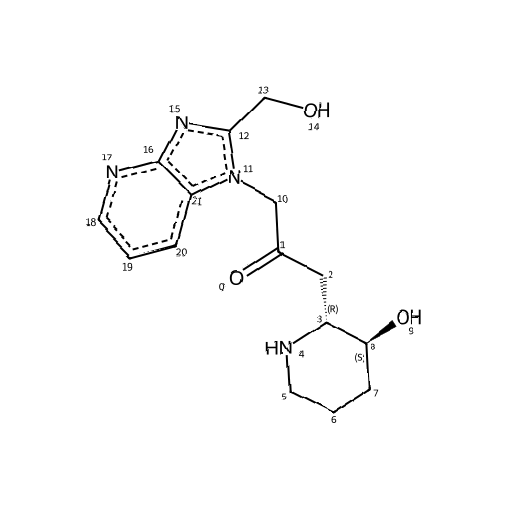 O=C(C[C@H]1NCCC[C@@H]1O)Cn1c(CO)nc2ncccc21